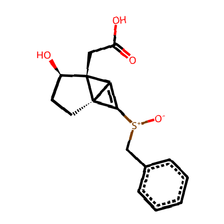 O=C(O)C[C@@]12C3=C([S+]([O-])Cc4ccccc4)[C@]31CC[C@H]2O